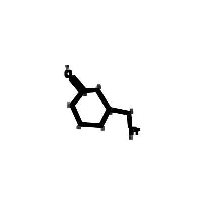 CC(C)CC1CCCC(=O)C1